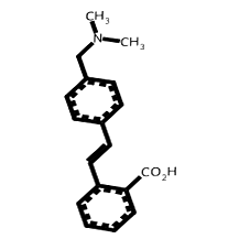 CN(C)Cc1ccc(C=Cc2ccccc2C(=O)O)cc1